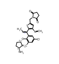 C=Nc1cc(CN2C(=O)CCC2=O)sc1/C(=C\C)c1cc(Cl)cc(C)c1O[C@H]1CC[C@H](N)C1